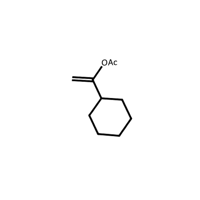 C=C(OC(C)=O)C1CCCCC1